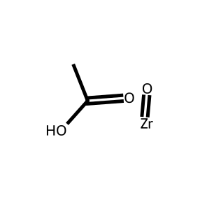 CC(=O)O.[O]=[Zr]